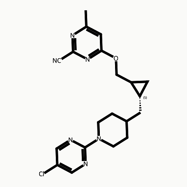 Cc1cc(OCC2C[C@@H]2CC2CCN(c3ncc(Cl)cn3)CC2)nc(C#N)n1